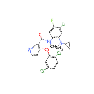 CN(C(=O)c1cnccc1Oc1cc(Cl)ccc1Cl)c1cc(F)c(Cl)cc1N(C)C1CC1